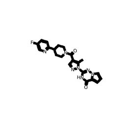 Cc1c(C(=O)N2CCC(c3ccc(F)cn3)CC2)cnn1-c1nn2cccc2c(=O)[nH]1